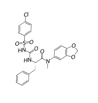 CN(C(=O)[C@H](Cc1ccccc1)NC(=O)NS(=O)(=O)c1ccc(Cl)cc1)c1ccc2c(c1)OCO2